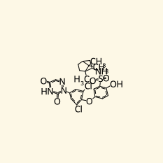 CC1(C)C2CCC1(C)C(NS(=O)(=O)c1cc(Oc3c(Cl)cc(-n4ncc(=O)[nH]c4=O)cc3Cl)ccc1O)C2